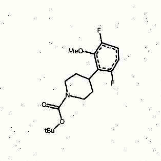 COc1c(F)ccc(F)c1C1CCN(C(=O)OC(C)(C)C)CC1